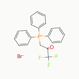 O=C(C[P+](c1ccccc1)(c1ccccc1)c1ccccc1)C(F)(F)F.[Br-]